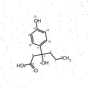 CCCC(O)(CC(=O)O)c1ccc(O)cc1